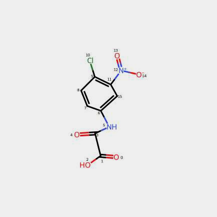 O=C(O)C(=O)Nc1ccc(Cl)c([N+](=O)[O-])c1